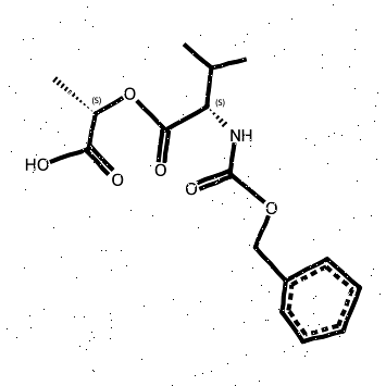 CC(C)[C@H](NC(=O)OCc1ccccc1)C(=O)O[C@@H](C)C(=O)O